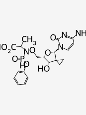 CC(C(=O)O)N(OC[C@H]1O[C@@H](n2ccc(N)nc2=O)C2(CC2)[C@@H]1O)[PH](=O)Oc1ccccc1